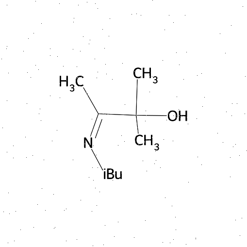 CCC(C)N=C(C)C(C)(C)O